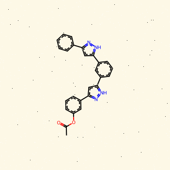 CC(=O)Oc1cccc(-c2cc(-c3cccc(-c4cc(-c5ccccc5)n[nH]4)c3)[nH]n2)c1